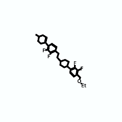 CCOCc1ccc(C2CCC(CCc3ccc(C4=CCC(C)CC4)c(F)c3F)CC2)c(F)c1F